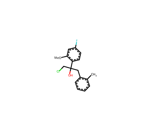 COc1cc(F)ccc1C(O)(CCl)Cc1ccccc1C